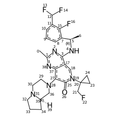 Cc1nc(N[C@H](C)c2cccc(C(F)F)c2F)c2cn(C3(CF)CC3)c(=O)c(N3CCN4CCC[C@@H]4C3)c2n1